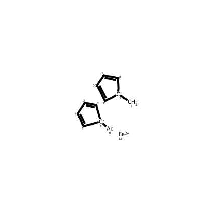 CC(=O)[c-]1cccc1.C[c-]1cccc1.[Fe+2]